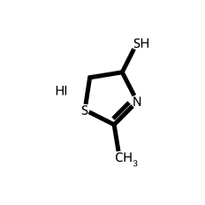 CC1=NC(S)CS1.I